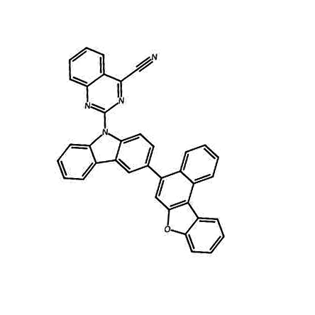 N#Cc1nc(-n2c3ccccc3c3cc(-c4cc5oc6ccccc6c5c5ccccc45)ccc32)nc2ccccc12